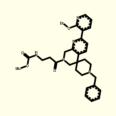 CCOc1ncccc1-c1ccc2c(n1)CN(C(=O)CCNC(=O)OC(C)(C)C)CC21CCN(Cc2ccccc2)CC1